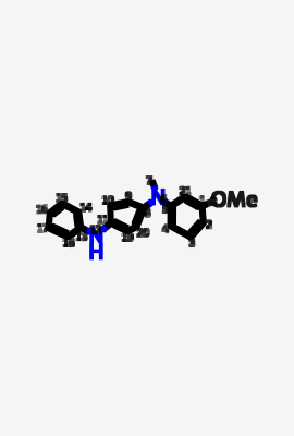 COc1cccc(N(C)c2ccc(Nc3ccccc3)cc2)c1